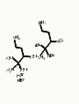 Br.Br.CCCCC(CCN)C(N)(CCCC)CCCC.CCCCC(CCN)C(N)(CCCC)CCCC